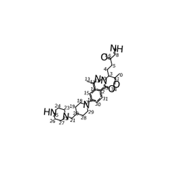 CC(=O)C(CCC(=O)C=N)n1nc(C)c2cc(N3CCC(CN4CCNCC4)CC3)ccc2c1=O